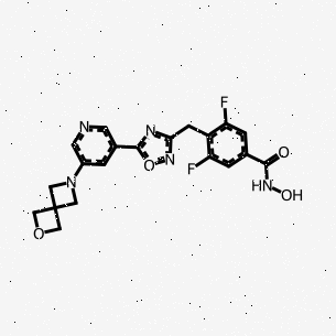 O=C(NO)c1cc(F)c(Cc2noc(-c3cncc(N4CC5(COC5)C4)c3)n2)c(F)c1